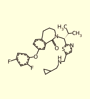 CC(C)[C@H](c1ncc(CNCC2CC2)s1)N1CCCc2ccc(Oc3ccc(F)cc3F)cc2C1=O